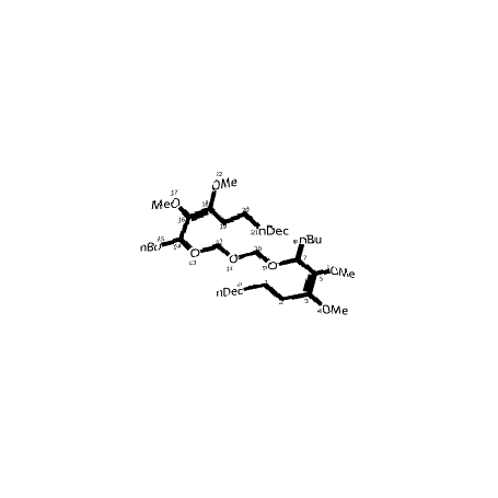 CCCCCCCCCCCCC(OC)=C(OC)C(CCCC)OCOCOC(CCCC)C(OC)=C(CCCCCCCCCCCC)OC